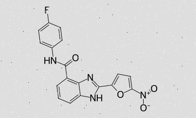 O=C(Nc1ccc(F)cc1)c1cccc2[nH]c(-c3ccc([N+](=O)[O-])o3)nc12